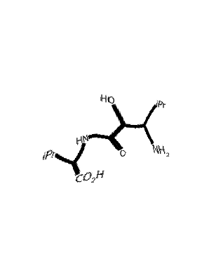 CC(C)C(NC(=O)C(O)C(N)C(C)C)C(=O)O